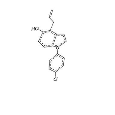 C=CCc1c(O)ccc2c1ccn2-c1ccc(Cl)cc1